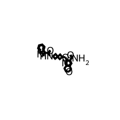 NC(=O)c1cc2c(nc1OC1CC3(CC(NC(=O)c4cnn5ccccc45)C3)C1)CCOC2